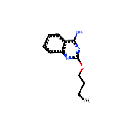 CCCCOc1nc(N)c2ccccc2n1